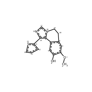 COc1cc2c(cc1O)-c1c(-c3cccs3)ncn1CC2